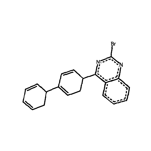 Brc1nc(C2C=CC(C3C=CC=CC3)=CC2)c2ccccc2n1